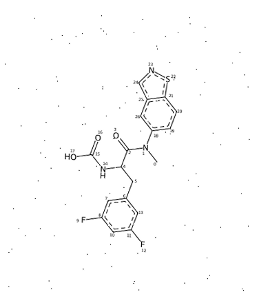 CN(C(=O)C(Cc1cc(F)cc(F)c1)NC(=O)O)c1ccc2sncc2c1